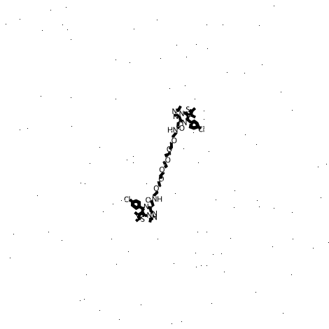 Cc1sc2c(c1C)C(c1ccc(Cl)cc1)=N[C@@H](CC(=O)NCCOCCOCCOCCOCCOCCOCCNC(=O)C[C@@H]1N=C(c3ccc(Cl)cc3)c3c(sc(C)c3C)-n3c(C)nnc31)c1nnc(C)n1-2